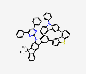 CC1(C)c2ccccc2-c2cc3c4cc(-c5ccc6sc7cccc(-c8ccc9c(c8)c8ccccc8n9-c8ccccc8)c7c6c5)ccc4n(-c4nc(-c5ccccc5)cc(-c5ccccc5)n4)c3cc21